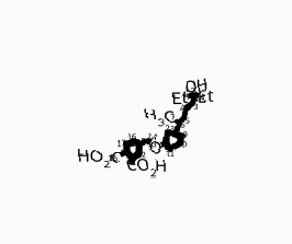 CCC(O)(/C=C/C=C(\C)c1cccc(OCc2ccc(C(=O)O)c(C(=O)O)c2)c1)CC